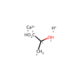 CC(O)C(=O)O.[Ca+2].[H+]